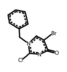 O=c1nc(Cl)n(Cc2ccccc2)cc1Br